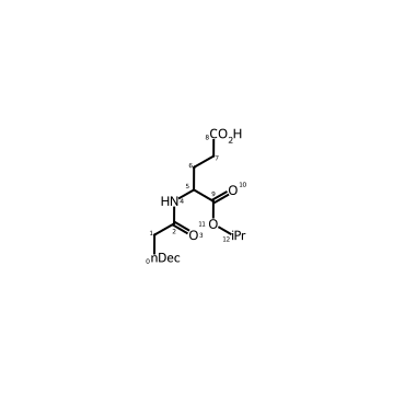 CCCCCCCCCCCC(=O)NC(CCC(=O)O)C(=O)OC(C)C